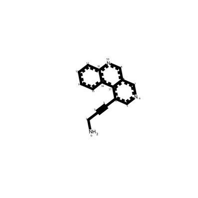 NCC#Cc1cncc2cnc3ccccc3c12